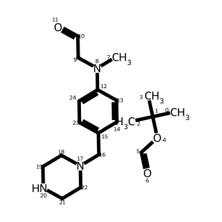 CC(C)(C)OC=O.CN(CC=O)c1ccc(CN2CCNCC2)cc1